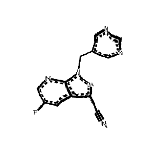 N#Cc1nn(Cc2cncnc2)c2ncc(F)cc12